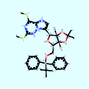 CSc1nc(SC)c2ncc([C@@H]3O[C@H](CO[Si](c4ccccc4)(c4ccccc4)C(C)(C)C)[C@H]4OC(C)(C)O[C@H]43)n2n1